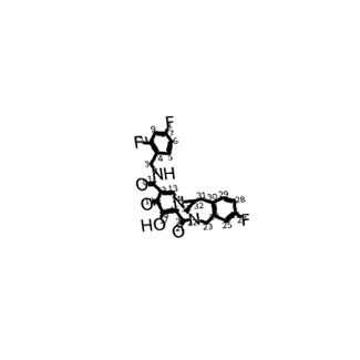 O=C(NCc1ccc(F)cc1F)c1cn2c(c(O)c1=O)C(=O)N1Cc3cc(F)ccc3CC2C1